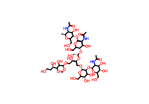 CO[C@H](OC[C@H](O)C(CO[C@H]1OC(CO)[C@@H](O)C(O)C1O[C@@H]1OC(CO)[C@@H](O)C(O)C1NC(C)=O)O[C@H](CO)O[C@@H]1C(CO)O[C@@H](O[C@@H]2C(CO)O[C@@H](C)C(NC(C)=O)C2O)C(NC(C)=O)C1O)C(O)C(O)[C@H](O)CCO